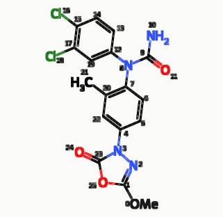 COc1nn(-c2ccc(N(C(N)=O)c3ccc(Cl)c(Cl)c3)c(C)c2)c(=O)o1